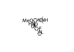 COc1ccc(N2CC(C)NC(C)C2)cc1NS(=O)(=O)c1ccc(-c2cccc(C)n2)c(F)c1